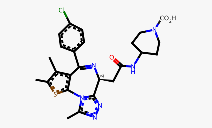 Cc1sc2c(c1C)C(c1ccc(Cl)cc1)=N[C@@H](CC(=O)NC1CCN(C(=O)O)CC1)c1nnc(C)n1-2